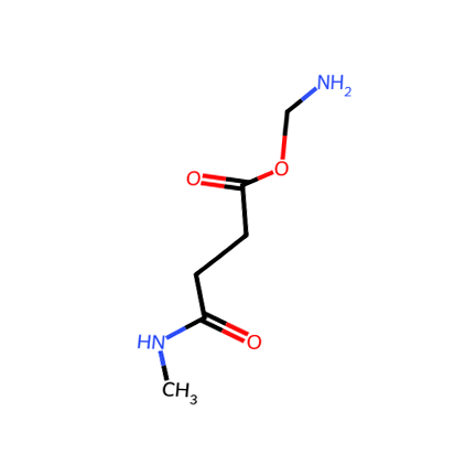 CNC(=O)CCC(=O)OCN